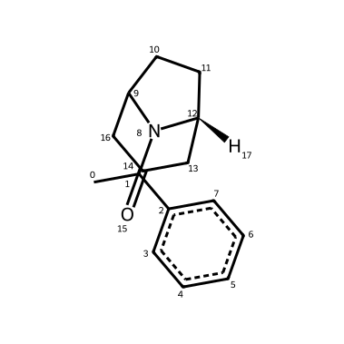 CC(c1ccccc1)N1C2CC[C@@H]1CC(=O)C2